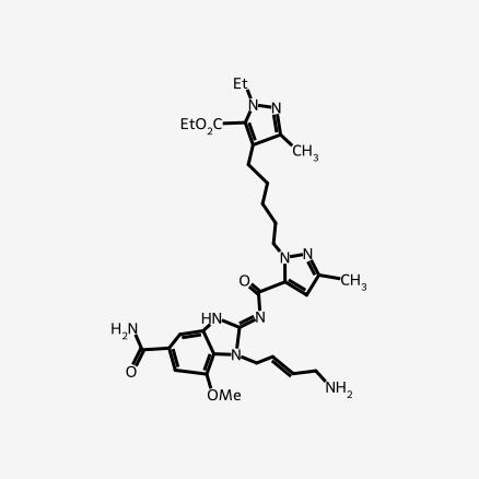 CCOC(=O)c1c(CCCCCn2nc(C)cc2C(=O)/N=c2\[nH]c3cc(C(N)=O)cc(OC)c3n2C/C=C/CN)c(C)nn1CC